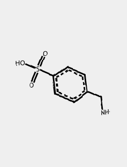 [NH]Cc1ccc(S(=O)(=O)O)cc1